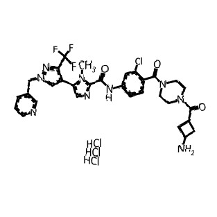 Cl.Cl.Cl.Cn1c(-c2cn(Cc3cccnc3)nc2C(F)(F)F)cnc1C(=O)Nc1ccc(C(=O)N2CCN(C(=O)C3CC(N)C3)CC2)c(Cl)c1